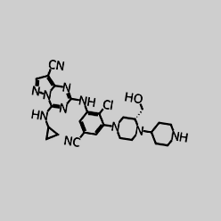 N#Cc1cc(Nc2nc(NC3CC3)n3ncc(C#N)c3n2)c(Cl)c(N2CCN(C3CCNCC3)[C@@H](CO)C2)c1